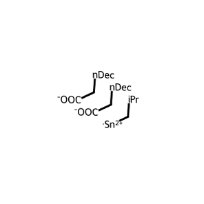 CC(C)[CH2][Sn+2].CCCCCCCCCCCC(=O)[O-].CCCCCCCCCCCC(=O)[O-]